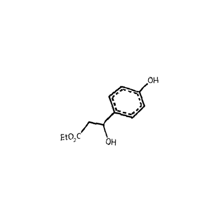 CCOC(=O)CC(O)c1ccc(O)cc1